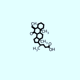 C/C=C1/C(=O)C2C(CCC3(C)C2CCC3[C@H](C)CCC(=O)O)C2(C)CCCCC12